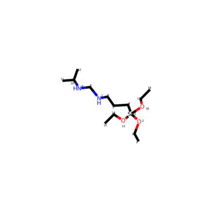 CCO[Si](CCCNCNC(C)C)(OCC)OCC